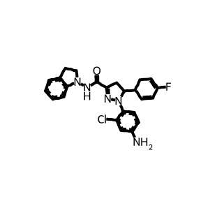 Nc1ccc(N2N=C(C(=O)NN3CCc4ccccc43)CC2C2C=CC(F)=CC2)c(Cl)c1